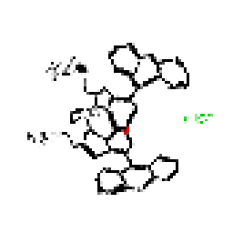 CCCC1=Cc2c(-c3c4ccccc4cc4ccccc34)cccc2[CH]1[Ti+2]1([CH]2C(CCC)=Cc3c(-c4c5ccccc5cc5ccccc45)cccc32)[CH2][CH2]1.[Cl-].[Cl-]